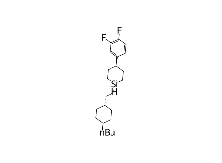 CCCC[C@H]1CC[C@H](CC[Si@H]2CC[C@H](c3ccc(F)c(F)c3)CC2)CC1